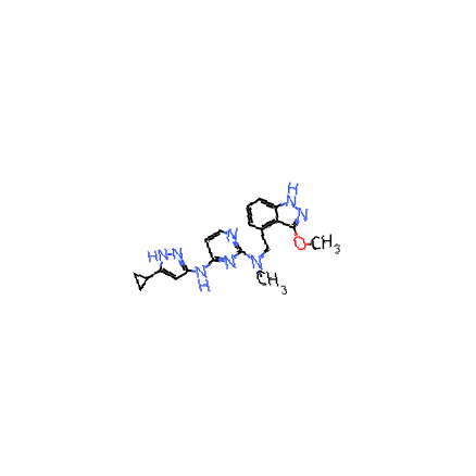 COc1n[nH]c2cccc(CN(C)c3nccc(Nc4cc(C5CC5)[nH]n4)n3)c12